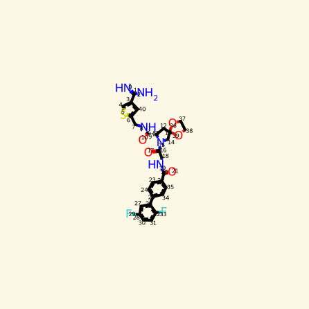 N=C(N)c1csc(CNC(=O)[C@@H]2CC3(CN2C(=O)CNC(=O)c2ccc(-c4cc(F)ccc4F)cc2)OCCO3)c1